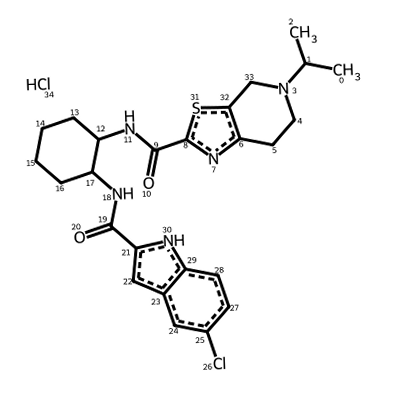 CC(C)N1CCc2nc(C(=O)NC3CCCCC3NC(=O)c3cc4cc(Cl)ccc4[nH]3)sc2C1.Cl